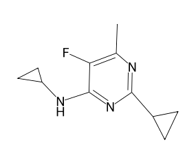 Cc1nc(C2CC2)nc(NC2CC2)c1F